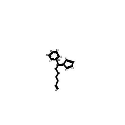 C=CCCCCC(=C1C=CC=C1)c1ccccc1